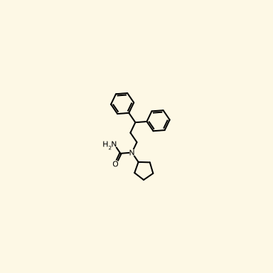 NC(=O)N(CCC(c1ccccc1)c1ccccc1)C1CCCC1